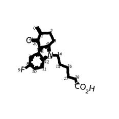 C=C1CCc2c(c3cc(F)ccc3n2CCCCCC(=O)O)C1=O